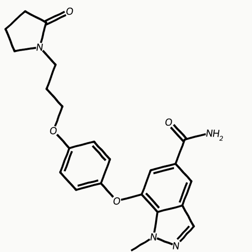 Cn1ncc2cc(C(N)=O)cc(Oc3ccc(OCCCN4CCCC4=O)cc3)c21